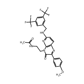 COc1ccc(-c2nc3ccc(NCc4cc(C(F)(F)F)cc(C(F)(F)F)c4)nc3n(CCNC(C)=O)c2=O)cc1